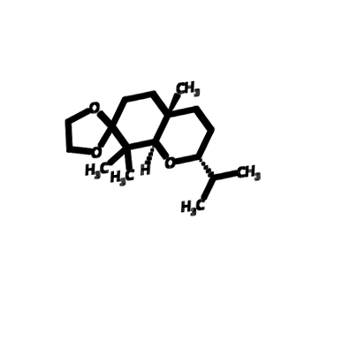 CC(C)[C@H]1CC[C@@]2(C)CCC3(OCCO3)C(C)(C)[C@@H]2O1